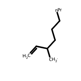 [CH2]C(C=C)CCCCCC